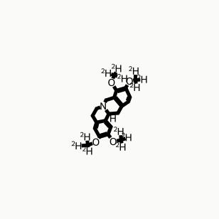 [2H]C([2H])([2H])Oc1cc2c(cc1OC([2H])([2H])[2H])[C@@H]1Cc3ccc(OC([2H])([2H])[2H])c(OC([2H])([2H])[2H])c3CN1CC2